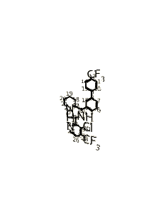 O=C(N[C@@H](c1cccc(-c2ccc(C(F)(F)F)cc2)c1)[C@@H]1CCCCN1)c1nccc(C(F)(F)F)c1Cl